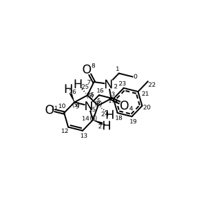 CCN1C(=O)[C@@H]2[C@H](C1=O)[C@H]1C(=O)C=C[C@@H]2N1Cc1cccc(C)c1